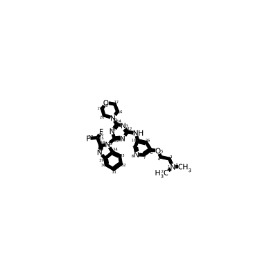 CN(C)CCOc1cncc(Nc2nc(N3CCOCC3)nc(-n3c(C(F)F)nc4ccccc43)n2)c1